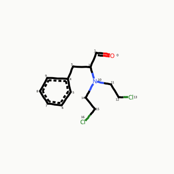 O=[C]C(Cc1ccccc1)N(CCCl)CCCl